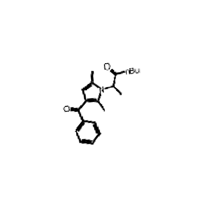 CCCCC(=O)C(C)n1c(C)cc(C(=O)c2ccccc2)c1C